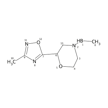 CBN1CCOC(c2nc(C)no2)C1